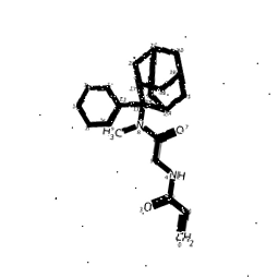 C=CC(=O)NCC(=O)N(C)C1(C2CCCCC2)C2CC3CC(C2)CC1C3